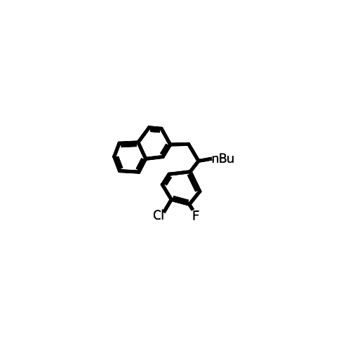 CCCCC(Cc1ccc2ccccc2c1)c1ccc(Cl)c(F)c1